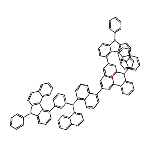 c1ccc(-n2c3cccc(-c4cccc(N(c5ccccc5-c5cccc(-c6cccc7c(N(c8cccc(-c9cccc%10c9c9c%11ccccc%11ccc9n%10-c9ccccc9)c8)c8cccc9ccccc89)cccc67)c5)c5cccc6ccccc56)c4)c3c3c4ccccc4ccc32)cc1